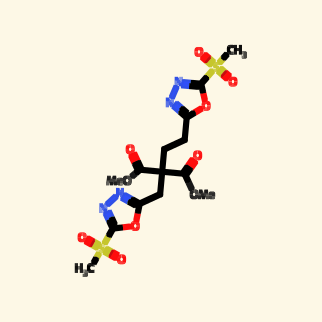 COC(=O)C(CCc1nnc(S(C)(=O)=O)o1)(Cc1nnc(S(C)(=O)=O)o1)C(=O)OC